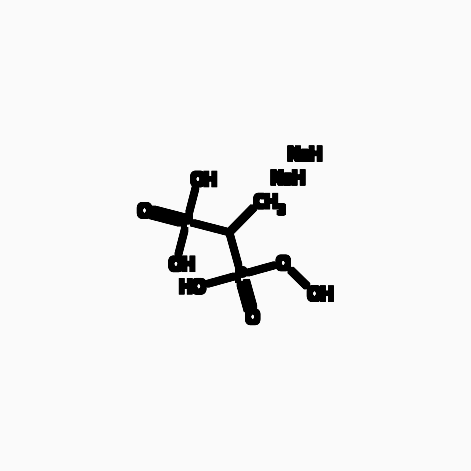 CC(P(=O)(O)O)P(=O)(O)OO.[NaH].[NaH]